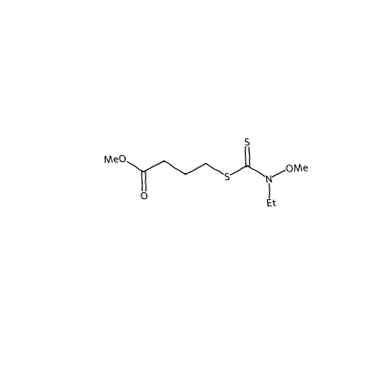 CCN(OC)C(=S)SCCCC(=O)OC